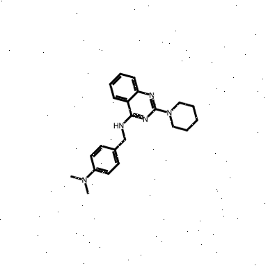 CN(C)c1ccc(CNc2nc(N3CCCCC3)nc3ccccc23)cc1